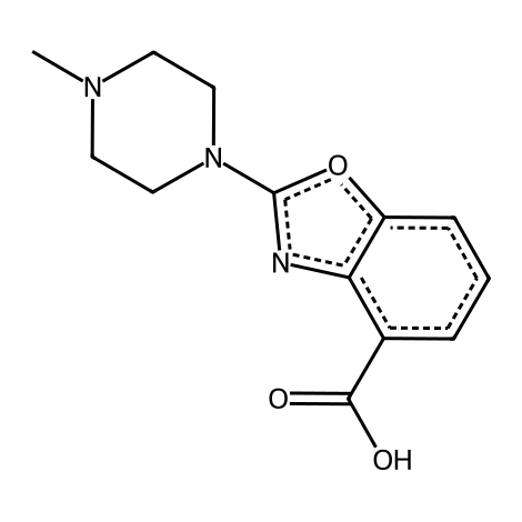 CN1CCN(c2nc3c(C(=O)O)cccc3o2)CC1